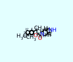 CC(C)c1cc2c(cc1OCC(=O)N1CC[C@@H]3CNC[C@@H]3CC1)C(C)(C)CC2